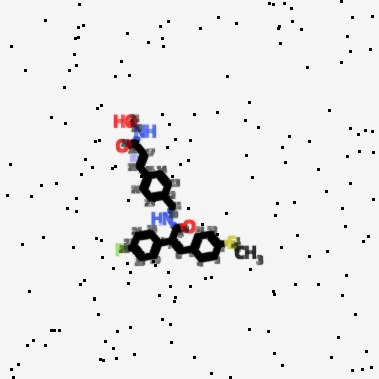 CSc1ccc(C=C(C(=O)NCc2ccc(/C=C/C(=O)NO)cc2)c2ccc(F)cc2)cc1